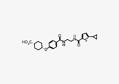 O=C(NCCNC(=O)c1ccc(C2CC2)s1)c1ccc(O[C@H]2CC[C@@H](C(=O)O)CC2)cc1